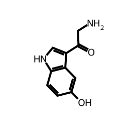 NCC(=O)c1c[nH]c2ccc(O)cc12